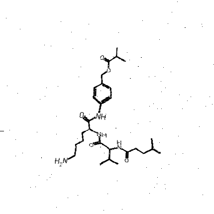 CC(C)CCC(=O)NC(C(=O)N[C@@H](CCCCN)C(=O)Nc1ccc(COC(=O)C(C)C)cc1)C(C)C